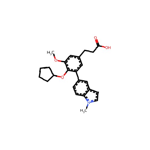 COc1cc(CCC(=O)O)cc(-c2ccc3c(ccn3C)c2)c1OC1CCCC1